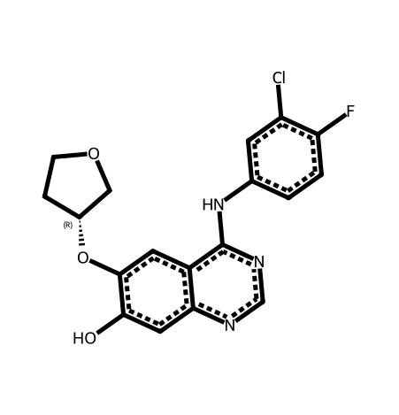 Oc1cc2ncnc(Nc3ccc(F)c(Cl)c3)c2cc1O[C@@H]1CCOC1